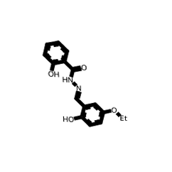 CCOc1ccc(O)c(/C=N/NC(=O)c2ccccc2O)c1